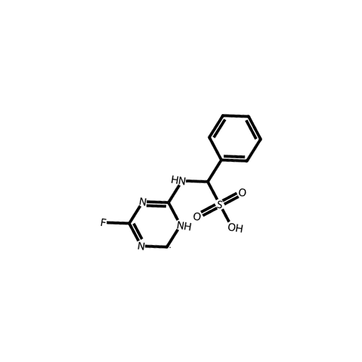 O=S(=O)(O)C(NC1=NC(F)=N[CH]N1)c1ccccc1